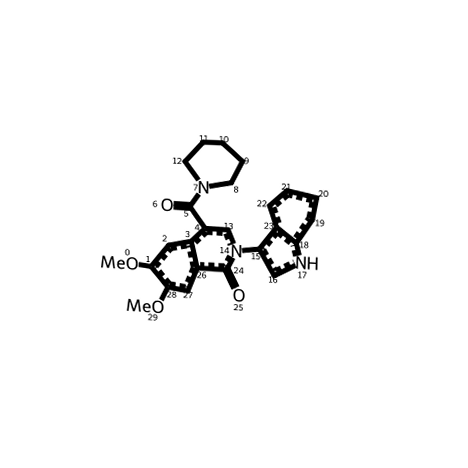 COc1cc2c(C(=O)N3CCCCC3)cn(-c3c[nH]c4ccccc34)c(=O)c2cc1OC